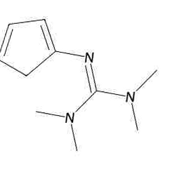 CN(C)C(=NC1=CC=CC1)N(C)C